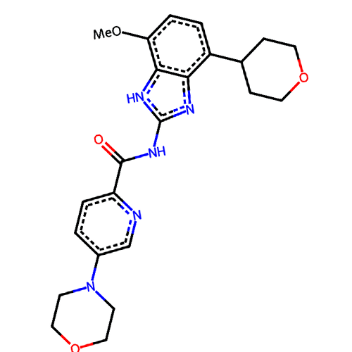 COc1ccc(C2CCOCC2)c2nc(NC(=O)c3ccc(N4CCOCC4)cn3)[nH]c12